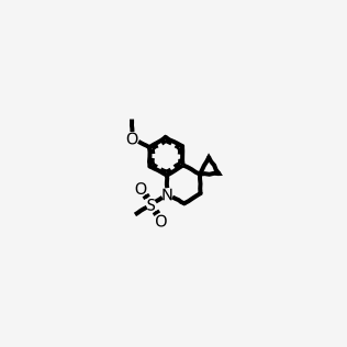 COc1ccc2c(c1)N(S(C)(=O)=O)CCC21CC1